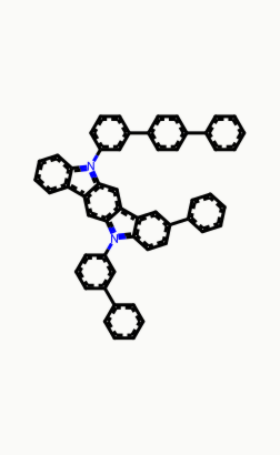 c1ccc(-c2ccc(-c3cccc(-n4c5ccccc5c5cc6c(cc54)c4cc(-c5ccccc5)ccc4n6-c4cccc(-c5ccccc5)c4)c3)cc2)cc1